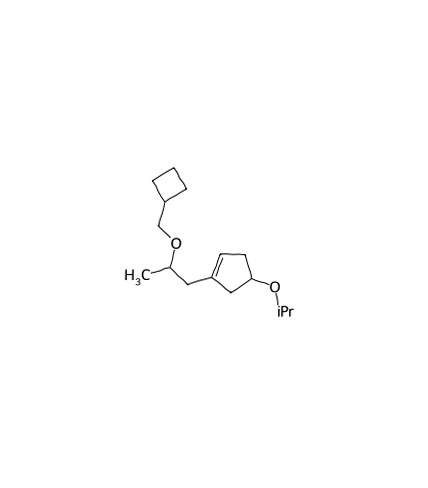 CC(C)OC1CC=C(CC(C)OCC2CCC2)C1